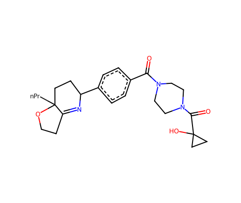 CCCC12CCC(c3ccc(C(=O)N4CCN(C(=O)C5(O)CC5)CC4)cc3)N=C1CCO2